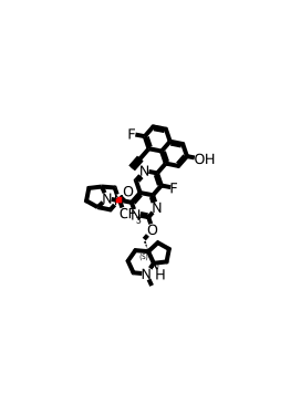 C#Cc1c(F)ccc2cc(O)cc(-c3ncc4c(N5CC6CCC(C5)N6C(=O)C(F)(F)F)nc(OC[C@]56CCC[C@H]5N(C)CCC6)nc4c3F)c12